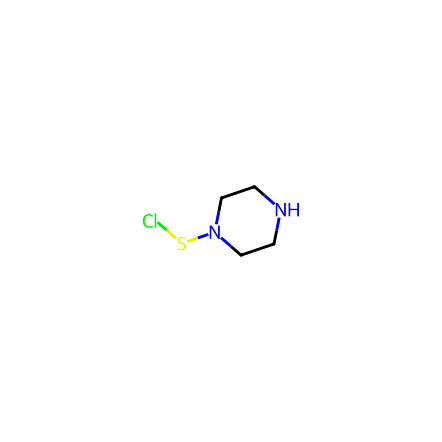 ClSN1CCNCC1